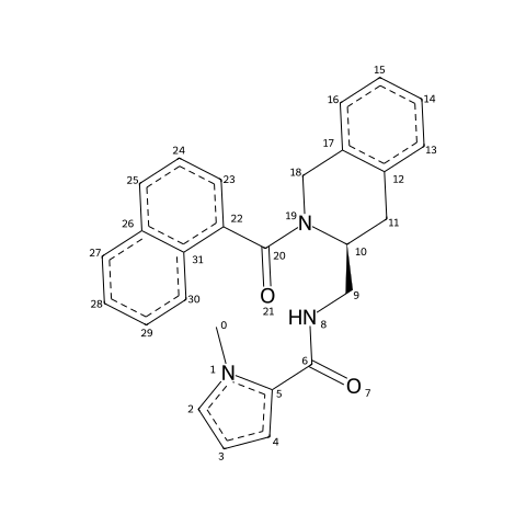 Cn1cccc1C(=O)NC[C@@H]1Cc2ccccc2CN1C(=O)c1cccc2ccccc12